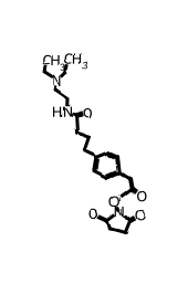 CCN(CC)CCNC(=O)CCCc1ccc(CC(=O)ON2C(=O)CCC2=O)cc1